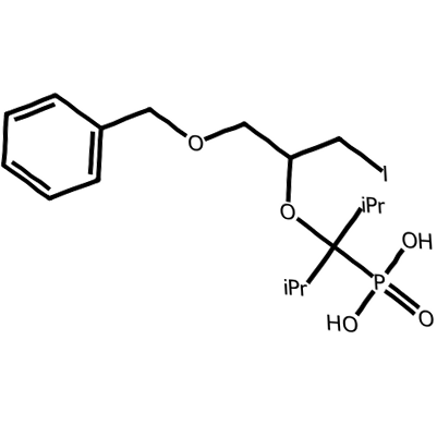 CC(C)C(OC(CI)COCc1ccccc1)(C(C)C)P(=O)(O)O